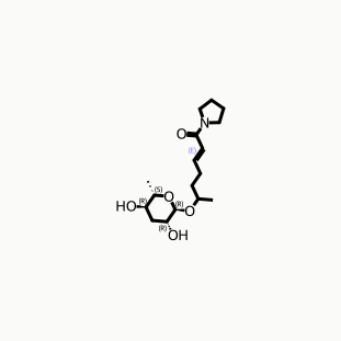 CC(CC/C=C/C(=O)N1CCCC1)O[C@@H]1O[C@@H](C)[C@H](O)C[C@H]1O